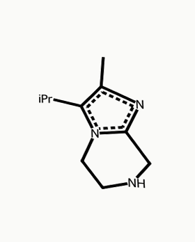 Cc1nc2n(c1C(C)C)CCNC2